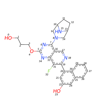 OCCCOc1nc(N2CC3CCC(C2)N3)c2cnc(-c3cc(O)cc4ccccc34)c(F)c2n1